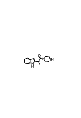 C[C](C(=O)N1CCNCC1)c1cc2ccccc2[nH]1